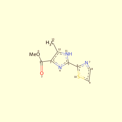 COC(=O)c1nc(-c2nccs2)[nH]c1C